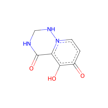 O=C1NCNn2ccc(=O)c(O)c21